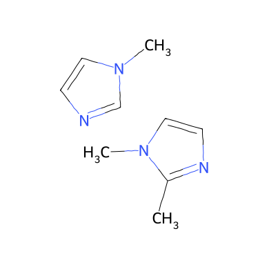 Cc1nccn1C.Cn1ccnc1